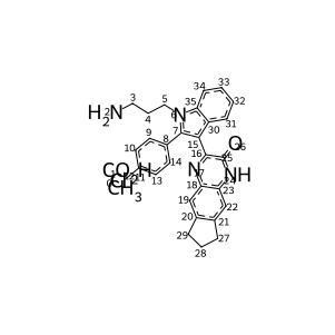 CC(=O)O.NCCCn1c(-c2ccc(Cl)cc2)c(-c2nc3cc4c(cc3[nH]c2=O)CCC4)c2ccccc21